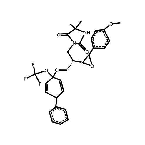 COc1ccc(C2ON2[C@H](COC2(OC(F)(F)F)C=CC(c3ccccc3)C=C2)CN2C(=O)NC(C)(C)C2=O)cc1